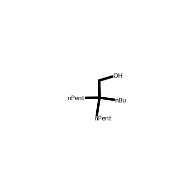 CCCCCC(CO)(CCCC)CCCCC